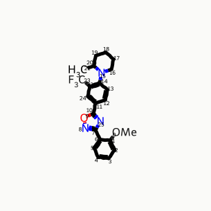 COc1ccccc1-c1noc(-c2ccc(N3CCCCC3C)c(C(F)(F)F)c2)n1